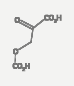 O=C(O)OCC(=O)C(=O)O